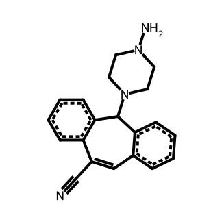 N#CC1=Cc2ccccc2C(N2CCN(N)CC2)c2ccccc21